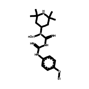 CCCCCCCCN(C(=N)NC(=N)Nc1ccc(OCC)cc1)C1CC(C)(C)NC(C)(C)C1